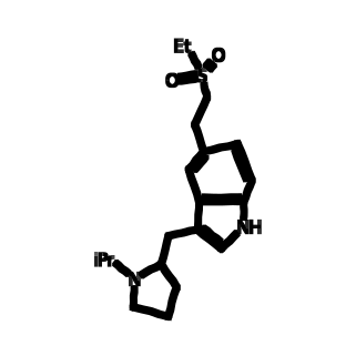 CCS(=O)(=O)CCc1ccc2[nH]cc(CC3CCCN3C(C)C)c2c1